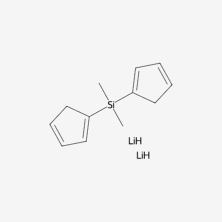 C[Si](C)(C1=CC=CC1)C1=CC=CC1.[LiH].[LiH]